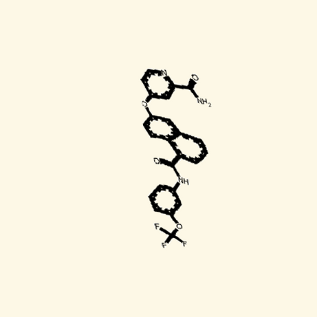 NC(=O)c1cc(Oc2ccc3c(C(=O)Nc4cccc(OC(F)(F)F)c4)cccc3c2)ccn1